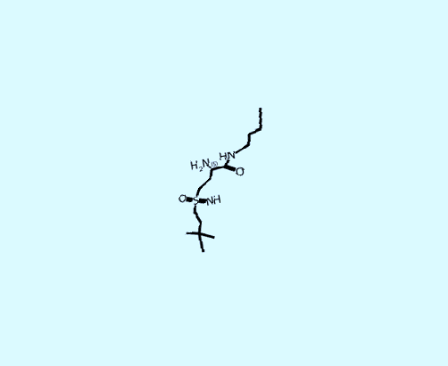 CCCCNC(=O)[C@@H](N)CCS(=N)(=O)CCC(C)(C)C